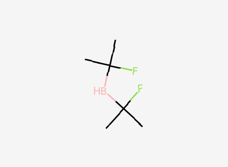 CC(C)(F)BC(C)(C)F